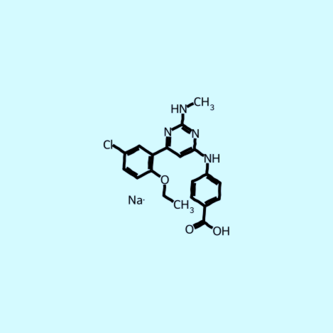 CCOc1ccc(Cl)cc1-c1cc(Nc2ccc(C(=O)O)cc2)nc(NC)n1.[Na]